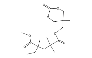 CCC(C)(CC(C)(C)C(=O)OCC1(C)COC(=O)OC1)C(=O)OC